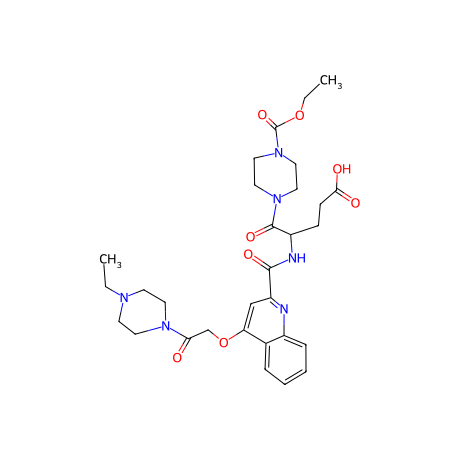 CCOC(=O)N1CCN(C(=O)C(CCC(=O)O)NC(=O)c2cc(OCC(=O)N3CCN(CC)CC3)c3ccccc3n2)CC1